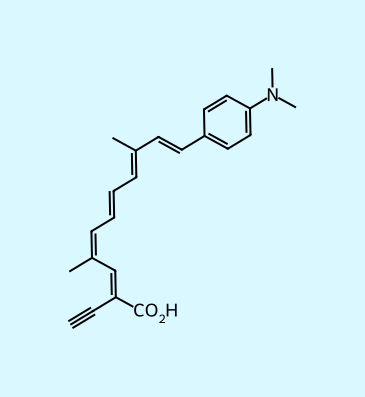 C#CC(=CC(C)=CC=CC=C(C)C=Cc1ccc(N(C)C)cc1)C(=O)O